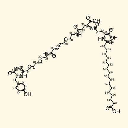 BC(=O)C(Cc1ccc(O)cc1)NC(=O)COCCOCCNC(=O)COCCOCCNC(=O)CC[C@H](NC(=O)CCC(NC(=O)CCCCCCCCCCCCCCCCC(=O)O)C(=O)O)C(=O)O